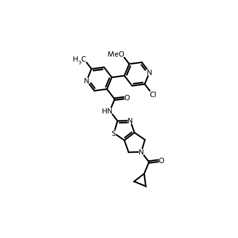 COc1cnc(Cl)cc1-c1cc(C)ncc1C(=O)Nc1nc2c(s1)CN(C(=O)C1CC1)C2